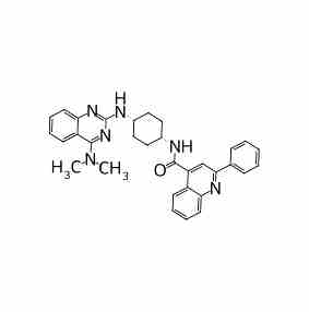 CN(C)c1nc(N[C@H]2CC[C@@H](NC(=O)c3cc(-c4ccccc4)nc4ccccc34)CC2)nc2ccccc12